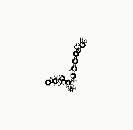 [2H]C([2H])([2H])Oc1ncc(-c2ccnc(N3CCc4c(sc5c4CCCC5)C3=O)c2[C@H](C)O)cc1Nc1ccc(N2CCN(C3CCN(c4ccc5c(c4)CN([C@H]4CCC(=O)NC4=O)C5=O)CC3)C[C@@H]2C)cn1